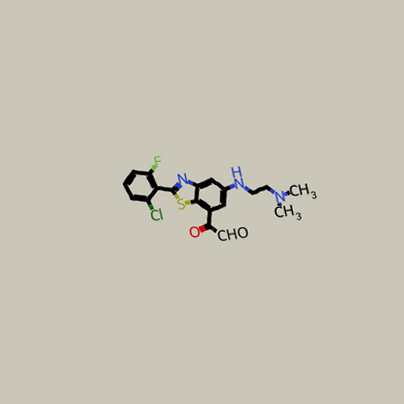 CN(C)CCNc1cc(C(=O)C=O)c2sc(-c3c(F)cccc3Cl)nc2c1